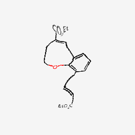 CCOC(=O)C=Cc1cccc2c1OCCC(C(=O)OCC)=C2